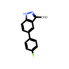 O=Cc1n[nH]c2ccc(-c3ccc(F)cc3)cc12